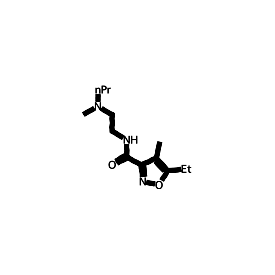 CCCN(C)CCNC(=O)c1noc(CC)c1C